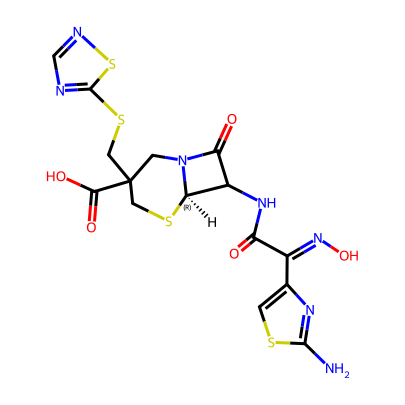 Nc1nc(C(=NO)C(=O)NC2C(=O)N3CC(CSc4ncns4)(C(=O)O)CS[C@H]23)cs1